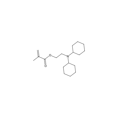 C=C(C)C(=O)OCCN(C1CCCCC1)C1CCCCC1